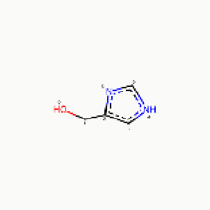 O[CH]c1c[nH]cn1